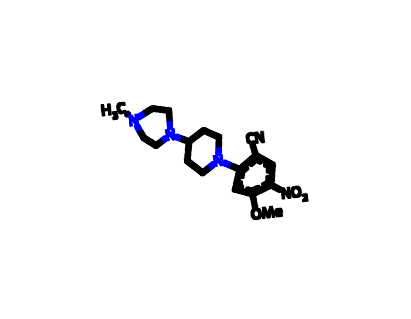 COc1cc(N2CCC(N3CCN(C)CC3)CC2)c(C#N)cc1[N+](=O)[O-]